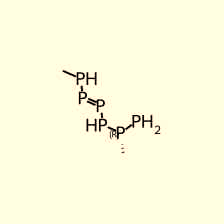 CPP=PP[P@@](C)P